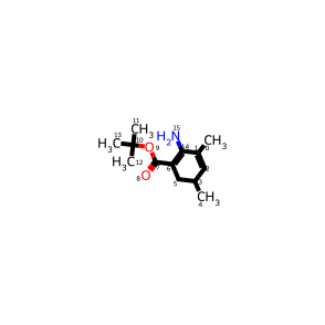 CC1=CC(C)CC(C(=O)OC(C)(C)C)=C1N